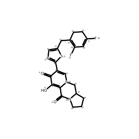 O=C1c2c(O)c(=O)c(-c3ncc(CC4=C(F)C=C(F)CC4)s3)cn2CC2CCCN12